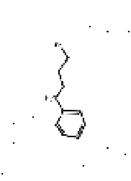 BrCCC[SiH2]c1ccccc1